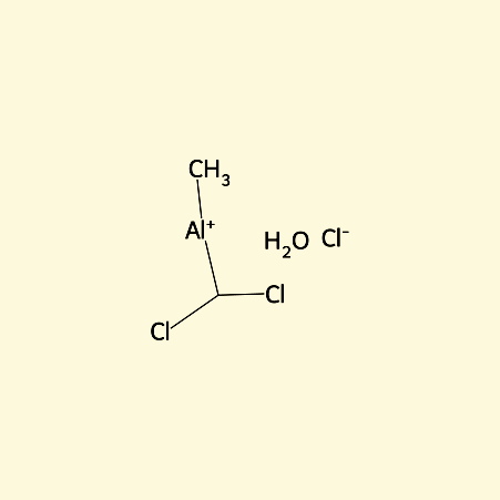 O.[CH3][Al+][CH](Cl)Cl.[Cl-]